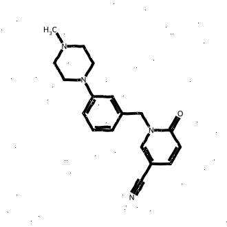 CN1CCN(c2cccc(Cn3cc(C#N)ccc3=O)c2)CC1